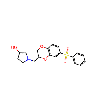 O=S(=O)(c1ccccc1)c1ccc2c(c1)O[C@@H](CN1CCC(O)C1)CO2